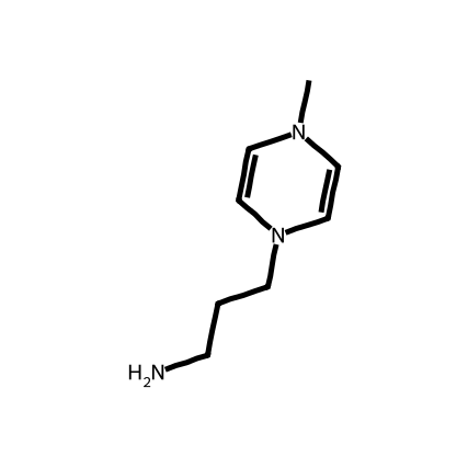 CN1C=CN(CCCN)C=C1